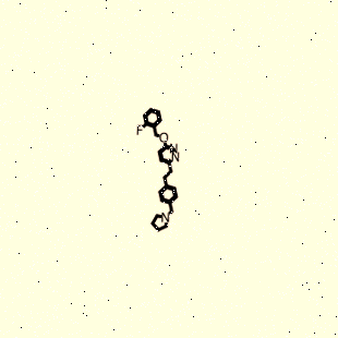 Fc1ccccc1COc1ccc(CCc2ccc(CN3CCCC3)cc2)nn1